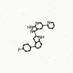 Fc1ccc(-c2cccc3[nH]c(-c4n[nH]c5ncc(-c6ccccn6)cc45)cc23)cc1